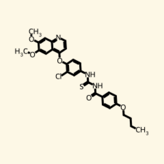 CCCCOc1ccc(C(=O)NC(=S)Nc2ccc(Oc3ccnc4cc(OC)c(OC)cc34)c(Cl)c2)cc1